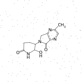 Cc1cnc2c(n1)CN(C1CCC(=O)NC1O)C2=O